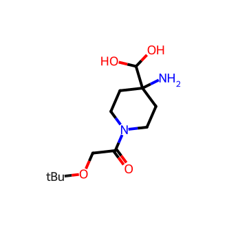 CC(C)(C)OCC(=O)N1CCC(N)(C(O)O)CC1